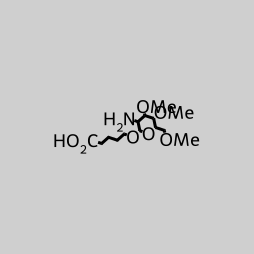 COCC1OC(OCCCCC(=O)O)C(N)C(OC)C1OC